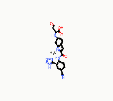 Cn1c(C(=O)Nc2ccc(C#N)cc2-c2nnn[nH]2)cc2ccc(NC(CC=O)C(=O)O)cc21